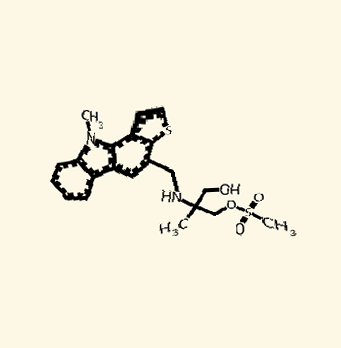 Cn1c2ccccc2c2cc(CNC(C)(CO)COS(C)(=O)=O)c3sccc3c21